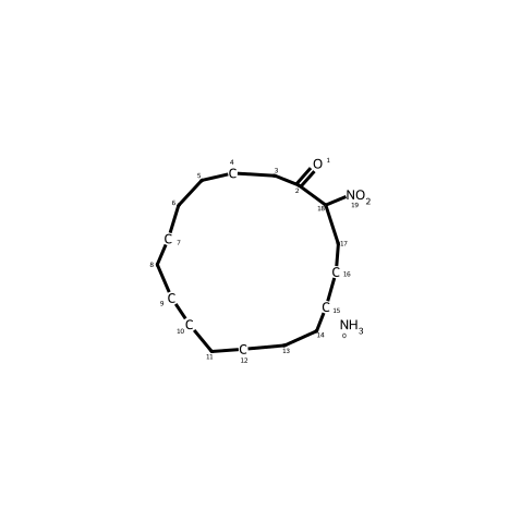 N.O=C1CCCCCCCCCCCCCCCC1[N+](=O)[O-]